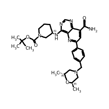 C[C@@H]1CN(Cc2ccc(-c3cc(C(N)=O)c4ncnc(N[C@H]5CCCN(C(=O)OC(C)(C)C)C5)c4n3)cc2)C[C@@H](C)O1